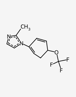 Cc1nccn1C1=CCC(OC(F)(F)F)C=C1